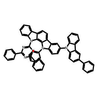 c1ccc(-c2ccc3c(c2)c2ccccc2n3-c2ccc3c(c2)c2ccc4c5ccccc5n(-c5nc(-c6ccccc6)nc(-c6ccccc6)n5)c4c2n3-c2ccccc2)cc1